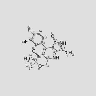 Cn1[nH]c(=O)c2c1NC1=C(C(=O)C(C)(C)OC1)C2c1ccc(F)c(I)c1